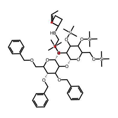 C/C=C\C1(BCCO[C@H]2OC(COCc3ccccc3)[C@@H](OCc3ccccc3)C(OCc3ccccc3)C2O[C@H]2OC(CO[Si](C)(C)C)C(O[Si](C)(C)C)C(O[Si](C)(C)C)C2O[Si](C)(C)C)CCC1